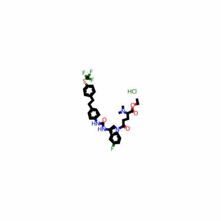 CCOC(=O)C(CCC(=O)n1cc(NC(=O)Nc2ccc(CCc3ccc(SC(F)(F)F)cc3)cc2)c2cc(F)ccc21)N(C)C.Cl